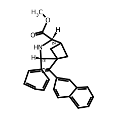 COC(=O)[C@H]1N[C@@H](c2ccccc2)C2(C(=O)c3ccc4ccccc4c3)CC1C2